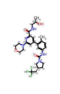 Cc1ccc(NC(=O)N2CC[C@@H](CC(F)(F)F)C2)cc1-c1cc(C(=O)NC[C@@H](C)O)nc(N2CCOCC2)c1